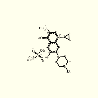 CCN1CCN(c2cc3c(cc2F)c(=O)c(C(=O)O)cn3C2CC2)CC1.O=S(=O)([O-])[O-].[Ca+2]